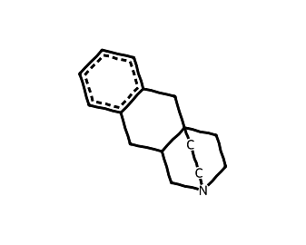 c1ccc2c(c1)CC1CN3CCC1(CC3)C2